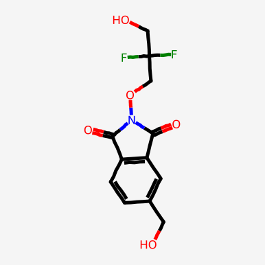 O=C1c2ccc(CO)cc2C(=O)N1OCC(F)(F)CO